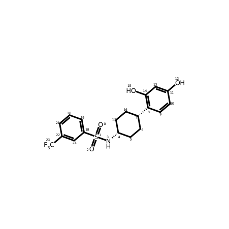 O=S(=O)(N[C@H]1CC[C@@H](c2ccc(O)cc2O)CC1)c1cccc(C(F)(F)F)c1